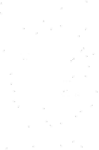 CCc1ccccc1OC(=O)OCCCCCCCCCc1ccccc1